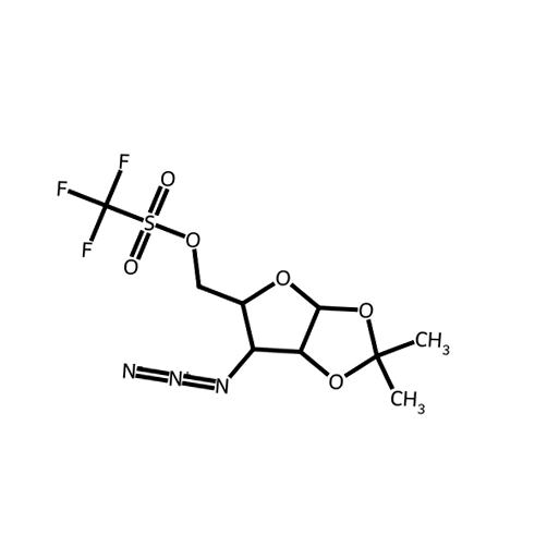 CC1(C)OC2OC(COS(=O)(=O)C(F)(F)F)C(N=[N+]=[N-])C2O1